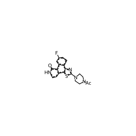 CC(=O)N1CCN(c2nc3c4ccc(F)cc4c4c(=O)[nH]ccc4c3s2)CC1